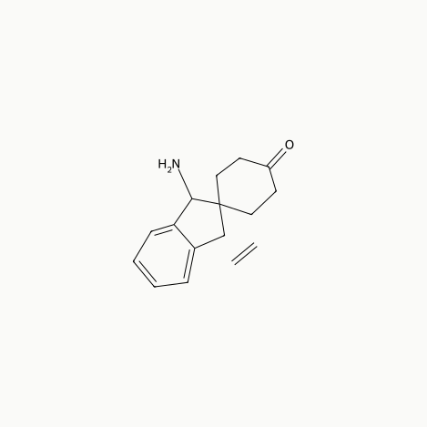 C=C.NC1c2ccccc2CC12CCC(=O)CC2